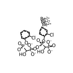 O=P([O-])([O-])C(O)P(=O)([O-])Oc1ccccc1Cl.O=P([O-])([O-])C(O)P(=O)([O-])Oc1ccccc1Cl.[Be+2].[Be+2].[Be+2]